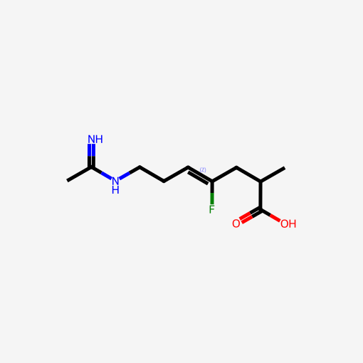 CC(=N)NCC/C=C(\F)CC(C)C(=O)O